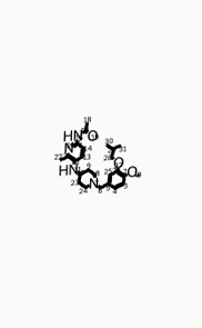 COc1ccc(CN2CCC(Nc3ccc(NC(C)=O)nc3C)CC2)cc1OCC(C)C